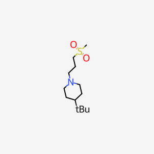 CC(C)(C)C1CCN(CCCS(C)(=O)=O)CC1